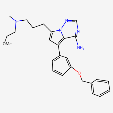 COCCN(C)CCCc1cc(-c2cccc(OCc3ccccc3)c2)c2c(N)ncnn12